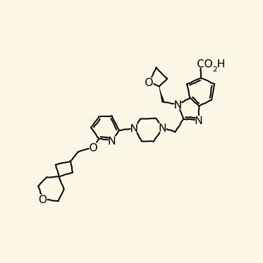 O=C(O)c1ccc2nc(CN3CCN(c4cccc(OCC5CC6(CCOCC6)C5)n4)CC3)n(C[C@@H]3CCO3)c2c1